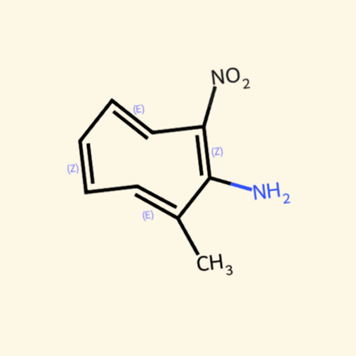 CC1=C\C=C/C=C/C([N+](=O)[O-])=C\1N